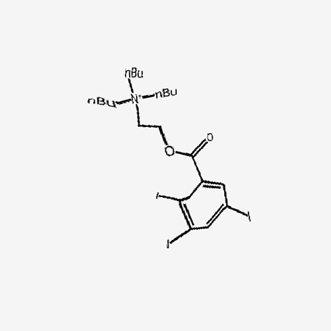 CCCC[N+](CCCC)(CCCC)CCOC(=O)c1cc(I)cc(I)c1I